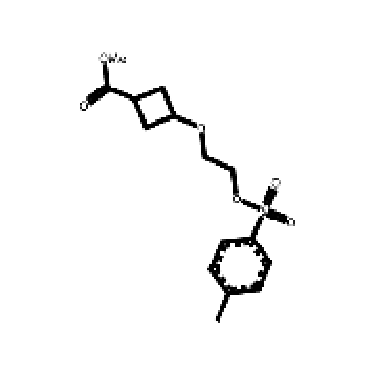 COC(=O)C1CC(OCCOS(=O)(=O)c2ccc(C)cc2)C1